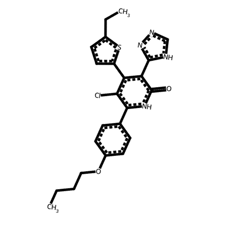 CCCCOc1ccc(-c2[nH]c(=O)c(-c3nnc[nH]3)c(-c3ccc(CC)s3)c2Cl)cc1